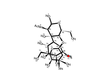 CC(=O)N[C@H]1C(O)O[C@H](CO)[C@@H](O[C@@H]2O[C@H](CO)[C@H](O)[C@@](O)([SiH3])[C@H]2O)[C@@]1(O)C1O[C@@H](C)[C@@H](O)[C@@H](O)[C@@H]1O